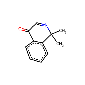 CC1(C)N=CC(=O)c2ccccc21